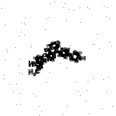 Cc1cc2c(F)c(Oc3ncnc(Nc4ccc(N5CCNCC5)cn4)c3C(=O)N3CCOCC3)ccc2[nH]1